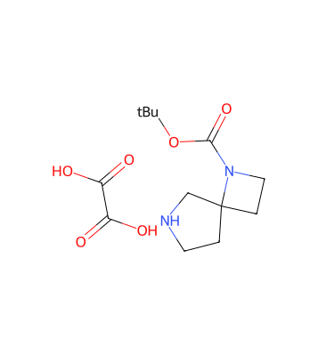 CC(C)(C)OC(=O)N1CCC12CCNC2.O=C(O)C(=O)O